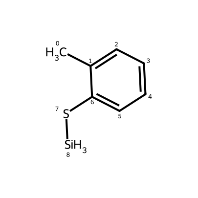 Cc1ccccc1S[SiH3]